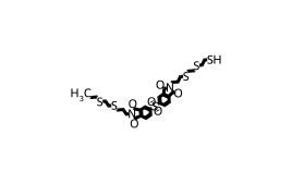 CCCSCCSCCCN1C(=O)c2ccc(S(=O)(=O)c3ccc4c(c3)C(=O)N(CCCSCCSCCS)C4=O)cc2C1=O